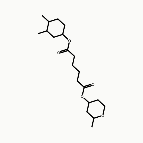 CC1CC(OC(=O)CCCCC(=O)OC2CCC(C)C(C)C2)CCO1